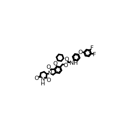 O=C1CCC(N2Cc3ccc(COC(=O)Nc4ccc(Oc5ccc(F)c(F)c5)cc4)c(OC4CCCCC4)c3C2=O)C(=O)N1